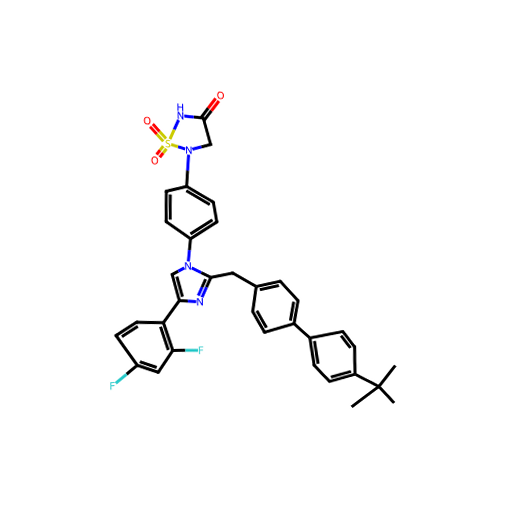 CC(C)(C)c1ccc(-c2ccc(Cc3nc(-c4ccc(F)cc4F)cn3-c3ccc(N4CC(=O)NS4(=O)=O)cc3)cc2)cc1